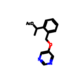 CC(=O)OC(C)c1ccccc1COc1cncnc1